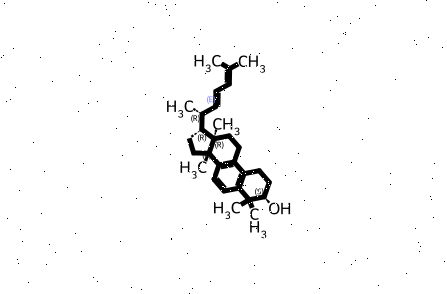 CC(C)=C/C=C/[C@@H](C)[C@H]1CC[C@@]2(C)c3ccc4c(c3CC[C@]12C)CC[C@H](O)C4(C)C